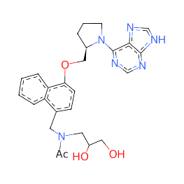 CC(=O)N(Cc1ccc(OC[C@H]2CCCN2c2ncnc3[nH]cnc23)c2ccccc12)CC(O)CO